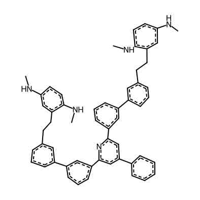 CNc1ccc(NC)c(CCc2cccc(-c3cccc(-c4cc(-c5ccccc5)cc(-c5cccc(-c6cccc(CCc7cc(NC)ccc7NC)c6)c5)n4)c3)c2)c1